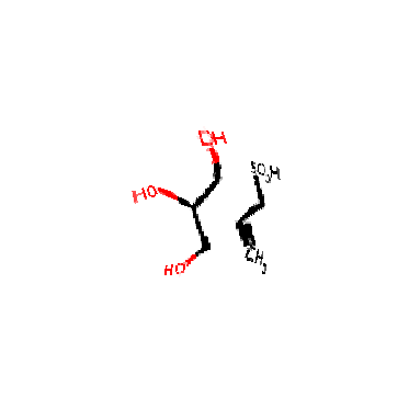 C=CCS(=O)(=O)O.OCC(O)CO